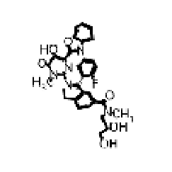 CN(CC(O)CO)C(=O)c1ccc2c(c1)[C@@H](c1ccccc1F)N(c1nc(-c3nc4ccccc4o3)c(O)c(=O)n1C)CC2